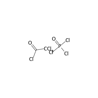 O=C(Cl)C(Cl)(Cl)Cl.O=P(Cl)(Cl)Cl